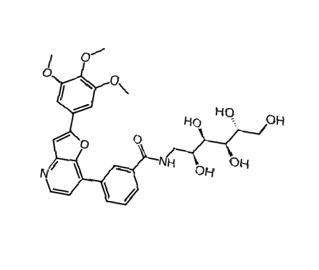 COc1cc(-c2cc3nccc(-c4cccc(C(=O)NC[C@H](O)[C@@H](O)[C@H](O)[C@H](O)CO)c4)c3o2)cc(OC)c1OC